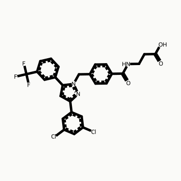 O=C(O)CCNC(=O)c1ccc(Cn2nc(-c3cc(Cl)cc(Cl)c3)cc2-c2cccc(C(F)(F)F)c2)cc1